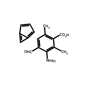 CC(=O)Nc1c(C=O)cc(C)c(C(=O)O)c1C.c1cc2cc-2c1